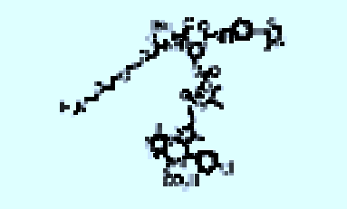 Cc1ncsc1-c1ccc(CNC(=O)[C@@H]2C[C@@H](OC(=O)OC(C)C(C)SS(=O)(=O)CCc3sc4c(c3C)C(c3ccc(Cl)cc3)=N[C@@H](CC(=O)O)c3nnc(C)n3-4)CN2C(=O)[C@@H](NC(=O)COCCOCCOCCN)C(C)(C)C)cc1